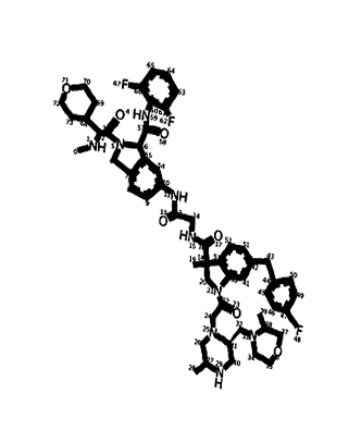 CNC(C(=O)N1Cc2ccc(NC(=O)CNC(=O)C3(C)CN(C(=O)CN4CC(C)NC[C@@H]4CN4CCOCC4C)c4cc(Cc5ccc(F)cc5)ccc43)cc2C1C(=O)Nc1c(F)cccc1F)C1CCOCC1